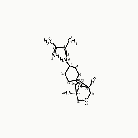 CC(=N)/C(C)=C\NC1CCC(N2[C@@H]3CC[C@H]2COC3)CC1